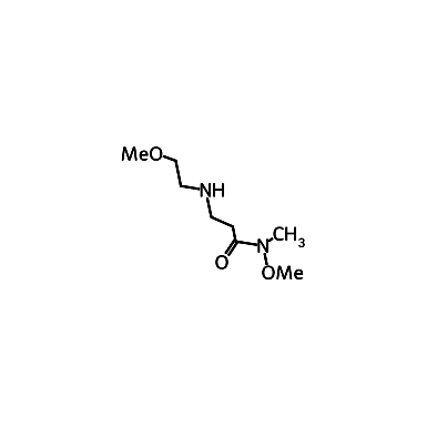 COCCNCCC(=O)N(C)OC